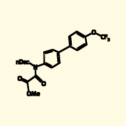 CCCCCCCCCCN(C(=O)C(=O)OC)c1ccc(-c2ccc(OC(F)(F)F)cc2)cc1